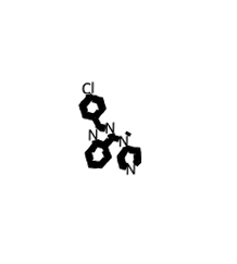 CN(c1ccncc1)c1nc(-c2ccc(Cl)cc2)nc2ccccc12